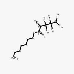 CCCCCCC[O][Sn](=[O])[CH](F)C(F)(F)C(F)(F)C(F)F